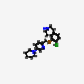 Clc1ccc2c(c1SCc1ccc(N3CCCCC3)cn1)CCNCC2